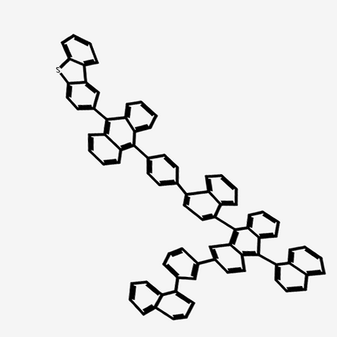 c1cc(-c2ccc3c(-c4cccc5ccccc45)c4ccccc4c(-c4ccc(-c5ccc(-c6c7ccccc7c(-c7ccc8sc9ccccc9c8c7)c7ccccc67)cc5)c5ccccc45)c3c2)cc(-c2cccc3ccccc23)c1